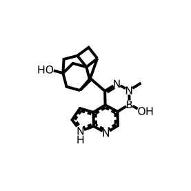 CN1N=C(C2C3CC4(O)CC5CC2C5(C3)C4)c2c(cnc3[nH]ccc23)B1O